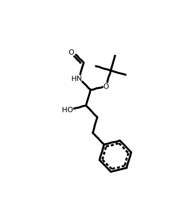 CC(C)(C)O[C](NC=O)C(O)CCc1ccccc1